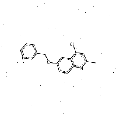 Cc1cc(Cl)c2cc(OCc3cccnc3)ccc2n1